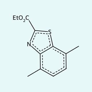 CCOC(=O)c1nc2c(C)ccc(C)c2s1